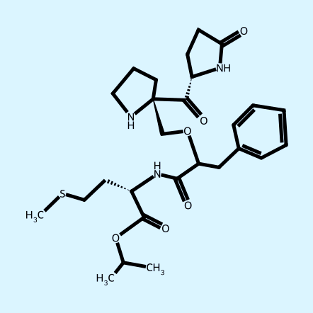 CSCC[C@H](NC(=O)C(Cc1ccccc1)OC[C@]1(C(=O)[C@@H]2CCC(=O)N2)CCCN1)C(=O)OC(C)C